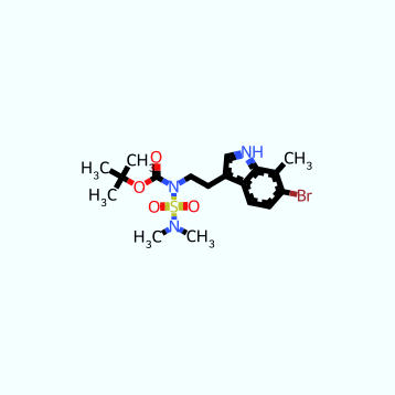 Cc1c(Br)ccc2c(CCN(C(=O)OC(C)(C)C)S(=O)(=O)N(C)C)c[nH]c12